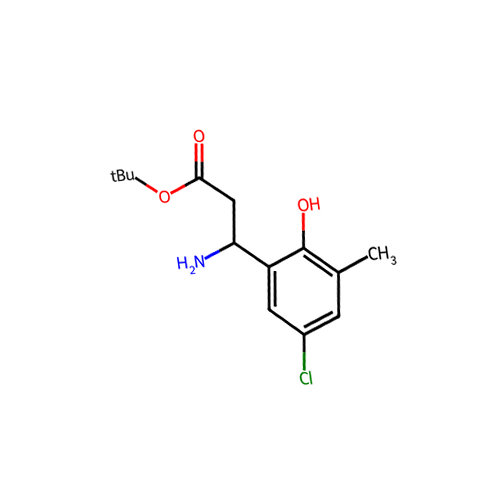 Cc1cc(Cl)cc(C(N)CC(=O)OC(C)(C)C)c1O